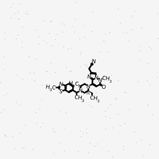 CC[C@H]1CN(C(C)c2ccc3nc(C)sc3c2)[C@H](C)CN1c1cc(=O)n(C)n2cc(CC#N)nc12